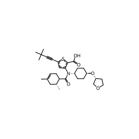 CC1=CCC(C(=O)N(c2cc(C#CC(C)(C)C)sc2C(=O)O)[C@H]2CC[C@H](O[C@@H]3CCOC3)CC2)[C@H](C)C1